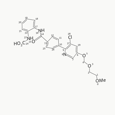 COCCOCOc1cnc(-c2ccc(C(=O)Nc3ccccc3NC(=O)O)cc2)c(Cl)c1